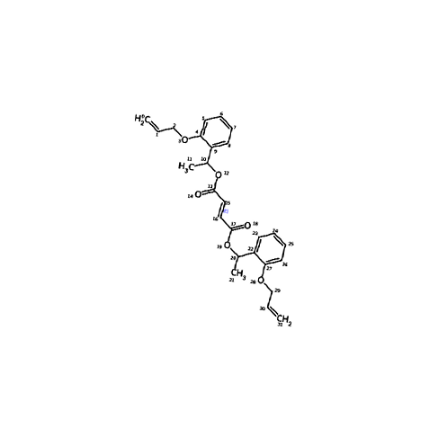 C=CCOc1ccccc1C(C)OC(=O)/C=C/C(=O)OC(C)c1ccccc1OCC=C